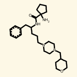 NC1(C(=O)NC(CCCN2CCN(CC3CCOCC3)CC2)Cc2ccccc2)CCCC1